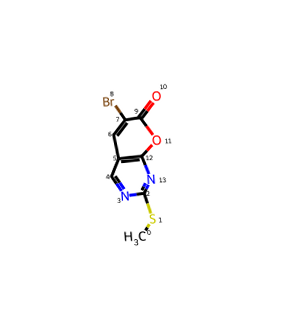 CSc1ncc2cc(Br)c(=O)oc2n1